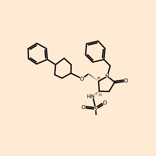 CS(=O)(=O)N[C@H]1CC(=O)N(Cc2ccccc2)[C@H]1COC1CCC(c2ccccc2)CC1